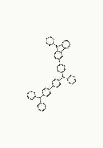 c1ccc(N(c2ccccc2)c2ccc(-c3ccc(N(c4ccccc4)c4ccc(-c5ccc6c(c5)c5ccccc5n6-c5ccccc5)cc4)cc3)cc2)cc1